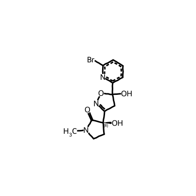 CN1CC[C@@](O)(C2=NOC(O)(c3cccc(Br)n3)C2)C1=O